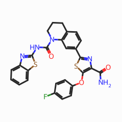 NC(=O)c1nc(-c2ccc3c(c2)N(C(=O)Nc2nc4ccccc4s2)CCC3)sc1Oc1ccc(F)cc1